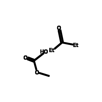 CCC(=O)CC.COC(=O)O